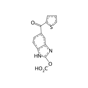 O=C(O)Oc1nc2cc(C(=O)c3cccs3)ccc2[nH]1